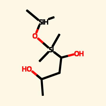 CC(O)CC(O)[Si](C)(C)O[SiH](C)C